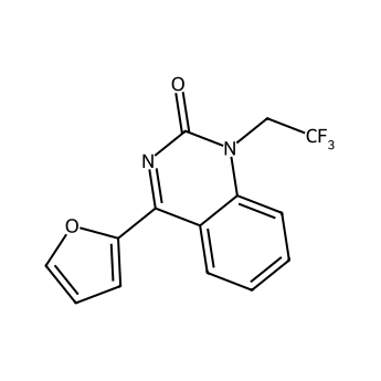 O=c1nc(-c2ccco2)c2ccccc2n1CC(F)(F)F